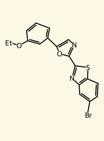 CCOc1cccc(-c2cnc(-c3nc4cc(Br)ccc4s3)o2)c1